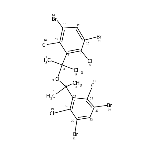 CC(C)(OC(C)(C)c1c(Cl)c(Br)cc(Br)c1Cl)c1c(Cl)c(Br)cc(Br)c1Cl